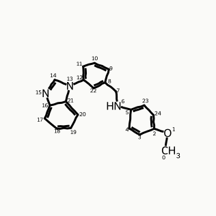 COc1ccc(NCc2cccc(-n3cnc4ccccc43)c2)cc1